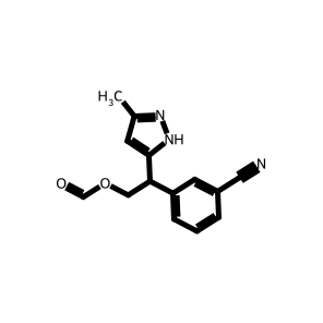 Cc1cc(C(COC=O)c2cccc(C#N)c2)[nH]n1